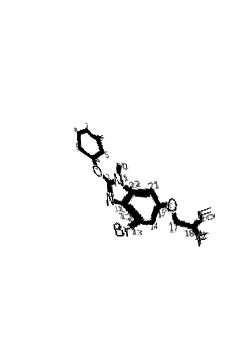 Cn1c(OC2CCCCC2)nc2c(Br)cc(OCC(F)F)cc21